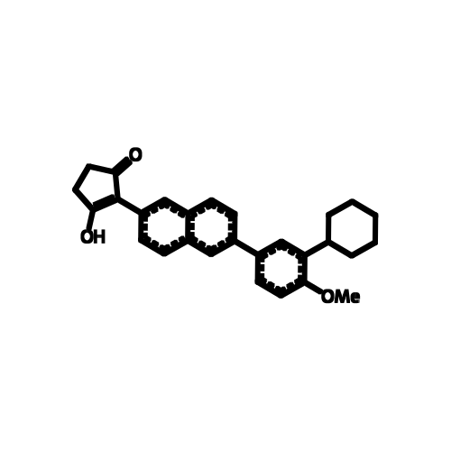 COc1ccc(-c2ccc3cc(C4=C(O)CCC4=O)ccc3c2)cc1C1CCCCC1